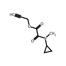 C#CCOC(=O)C(=O)N(C)C1CC1